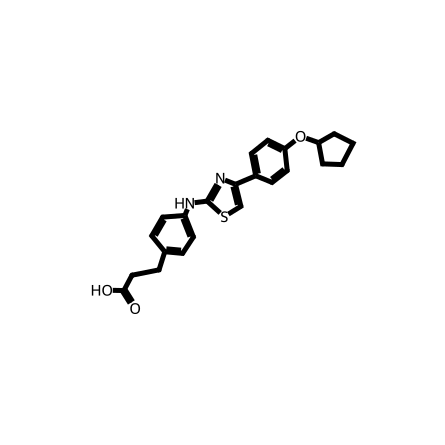 O=C(O)CCc1ccc(Nc2nc(-c3ccc(OC4CCCC4)cc3)cs2)cc1